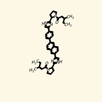 CCC(C)CC(=O)N1CCCC1c1nc(-c2ccc(-c3ccc4cc(-c5c[nH]c(C6CCCN6C(=O)CC(C)CC)n5)ccc4c3)cc2)c[nH]1